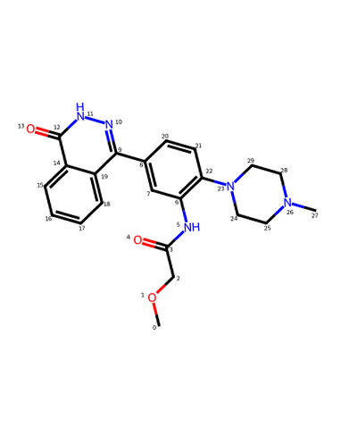 COCC(=O)Nc1cc(-c2n[nH]c(=O)c3ccccc23)ccc1N1CCN(C)CC1